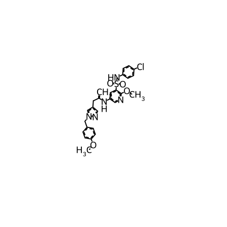 C=C(Cc1cnn(Cc2ccc(OC)cc2)c1)Nc1cnc(OC)c(S(=O)(=O)Nc2ccc(Cl)cc2)c1